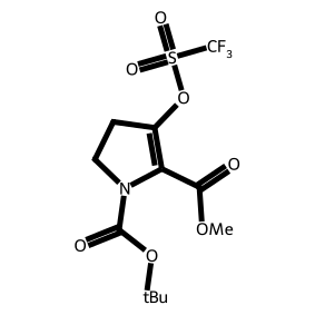 COC(=O)C1=C(OS(=O)(=O)C(F)(F)F)CCN1C(=O)OC(C)(C)C